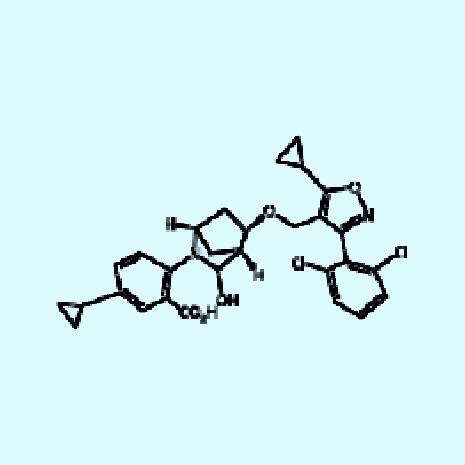 O=C(O)c1cc(C2CC2)ccc1N1C(O)[C@@H]2C[C@H]1C[C@H]2OCc1c(-c2c(Cl)cccc2Cl)noc1C1CC1